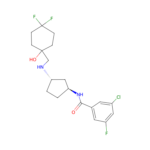 O=C(N[C@H]1CC[C@H](NCC2(O)CCC(F)(F)CC2)C1)c1cc(F)cc(Cl)c1